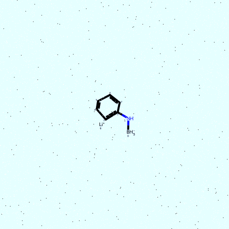 [BH3-]Nc1ccccc1.[Li+]